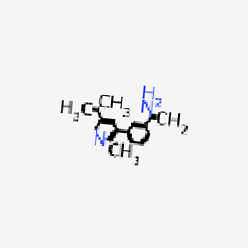 C=C(N)c1cccc(-c2cc(C(C)C)cnc2C)c1